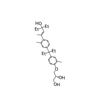 CCC(O)(/C=C(\C)c1ccc(C(CC)(CC)c2ccc(OC[C@@H](O)CO)c(C)c2)cc1C)CC